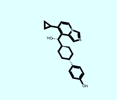 Oc1ccc([C@H]2CC[C@H]([C@H](O)c3c(C4CC4)ccn4cncc34)CC2)cc1